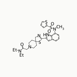 CCN(CC)C(=O)CN1CCC2(CC1)CN=C(c1cc3cccc(N(C)S(=O)(=O)c4cccs4)c3[nH]1)S2